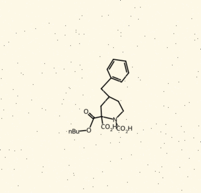 CCCCOC(=O)C1(C(=O)O)CC(Cc2ccccc2)CCN1C(=O)O